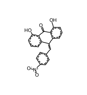 O=C1c2c(O)cccc2C(=Cc2ccc([N+](=O)[O-])cc2)c2cccc(O)c21